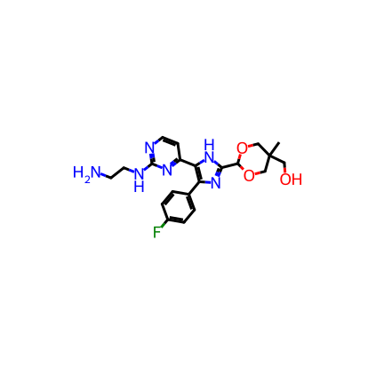 CC1(CO)COC(c2nc(-c3ccc(F)cc3)c(-c3ccnc(NCCN)n3)[nH]2)OC1